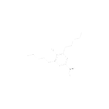 CCOCCc1cc(C(=O)O)cc(CCOCC)c1N